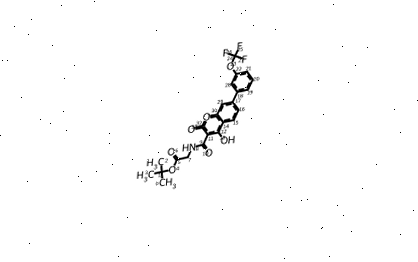 CC(C)(C)OC(=O)CNC(=O)c1c(O)c2ccc(-c3cccc(OC(F)(F)F)c3)cc2oc1=O